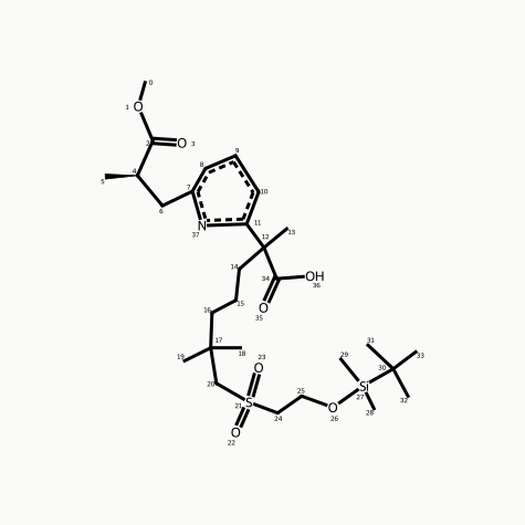 COC(=O)[C@H](C)Cc1cccc(C(C)(CCCC(C)(C)CS(=O)(=O)CCO[Si](C)(C)C(C)(C)C)C(=O)O)n1